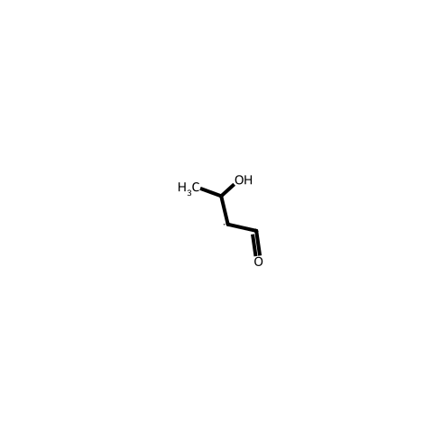 CC(O)[CH]C=O